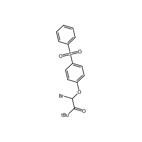 CC(C)(C)C(=O)C(Br)Oc1ccc(S(=O)(=O)c2ccccc2)cc1